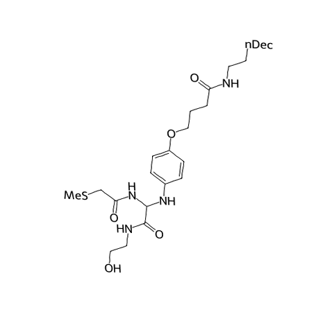 CCCCCCCCCCCCNC(=O)CCCOc1ccc(NC(NC(=O)CSC)C(=O)NCCO)cc1